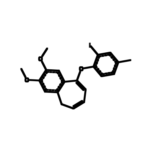 COc1cc2c(cc1OC)C(Oc1ccc(C)cc1I)=CC=CC2